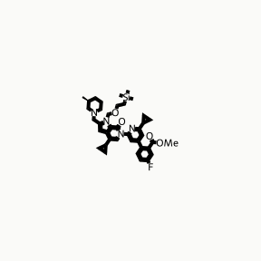 COC(=O)c1cc(F)ccc1-c1cc(C2CC2)nc(-n2cc(C3CC3)c3cc(CN4CCC[C@H](C)C4)n(COCC[Si](C)(C)C)c3c2=O)c1